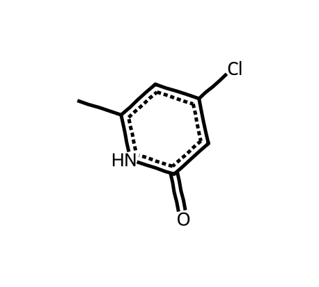 Cc1cc(Cl)cc(=O)[nH]1